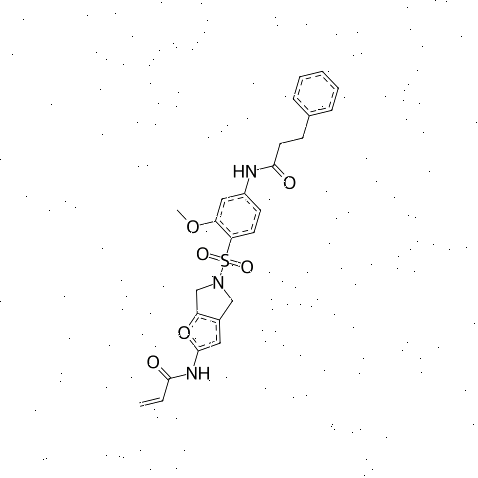 C=CC(=O)Nc1cc2c(o1)CN(S(=O)(=O)c1ccc(NC(=O)CCc3ccccc3)cc1OC)C2